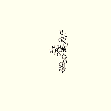 C=C(F)C(=O)N1CCCC(n2nc(-c3ccc(Oc4cccc(C(F)(F)F)n4)cc3)c(C(N)=O)c2N)C1